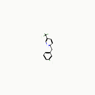 FC(F)(F)c1ccc([CH]c2cccc(Cl)c2)nc1